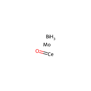 [BiH3].[Mo].[O]=[Ce]